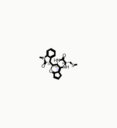 CSC[C@@H]1N/C(=C2\CC=CC2=O)[C@H]([C@@H](C)[C@@H]2C(=O)N(C)c3ccccc32)NC1=O